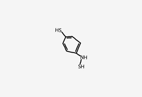 SNc1ccc(S)cc1